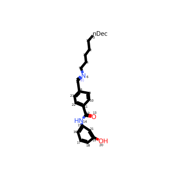 CCCCCCCCCCCCCCC/N=C/c1ccc(C(=O)Nc2cccc(O)c2)cc1